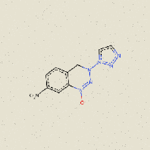 O=[N+]([O-])c1ccc2c(c1)[N+]([O-])=NN(n1ccnn1)C2